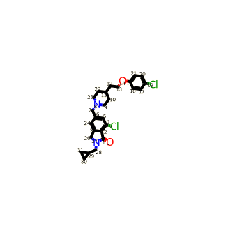 O=C1c2c(Cl)cc(CN3CCC(CCOc4ccc(Cl)cc4)CC3)cc2CN1CC1CC1